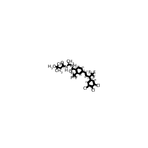 C[C@H](NC(=O)CC(C)(C)C)NC(=O)c1ccc(/C=C/C(c2cc(Cl)c(Cl)c(Cl)c2)C(F)(F)F)cc1C(F)(F)F